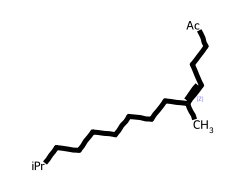 CC(=O)CC/C=C(/C)CCCCCCCC(C)C